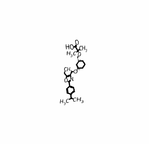 CCc1oc(-c2ccc(C(C)C)cc2)nc1CO[C@H]1CCC[C@@H](COC(C)(C)C(=O)O)C1